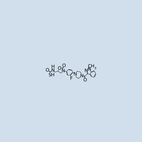 Cn1nc(C(=O)N2CCN(c3ccc(N4CC(CNC(=O)S)OC4=O)cc3F)CC2)c2ccccc21